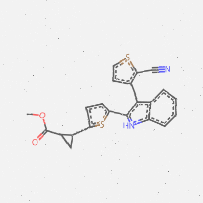 COC(=O)C1CC1c1ccc(-c2[nH]c3ccccc3c2-c2ccsc2C#N)s1